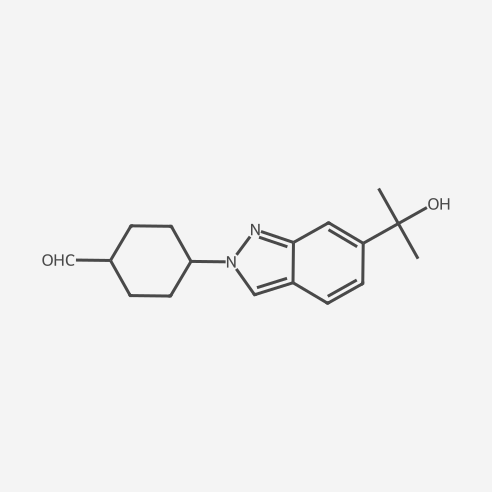 CC(C)(O)c1ccc2cn(C3CCC(C=O)CC3)nc2c1